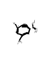 Cl[CH2][Pd].Fc1cccc(P)c1